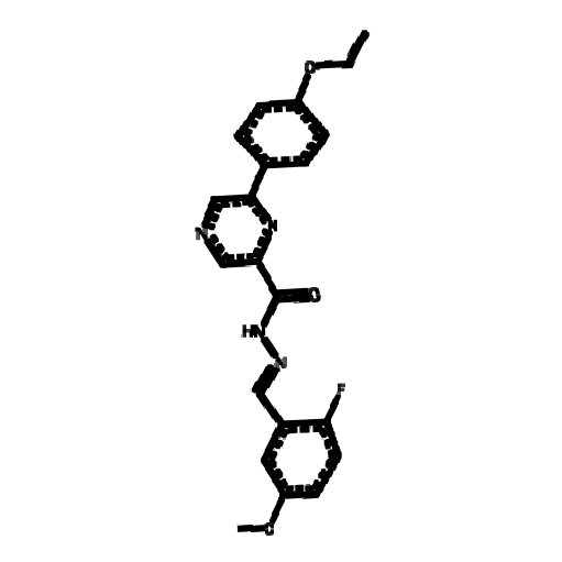 CCOc1ccc(-c2cncc(C(=O)NN=Cc3cc(OC)ccc3F)n2)cc1